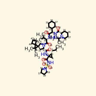 CCC[C@@H]1C[C@]1(NC(=O)[C@@H]1C[C@@]2(CN1C(=O)[C@@H](NC(=O)[C@@H](NC(=O)[C@@H]1CCCCN1C(C)C)C1CCCCC1)C(C)C)C(C)(C)C21CCC1)C(=O)NS(=O)(=O)N1CCCC1